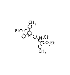 CCOC(=O)c1c(-c2ccc(C)cc2)cc(-c2ccc(-c3cc(-c4ccc(C)cc4)c(C(=O)OCC)c(-c4ccccc4)n3)cc2)nc1-c1ccccc1